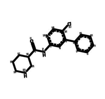 O=C(Nc1cc(-c2ccccc2)c(Cl)cn1)C1CCCNC1